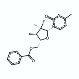 Cc1ccn([C@@H]2O[C@H](COC(=O)c3ccccc3)[C@@H](C)[C@@]2(C)F)c(=O)n1